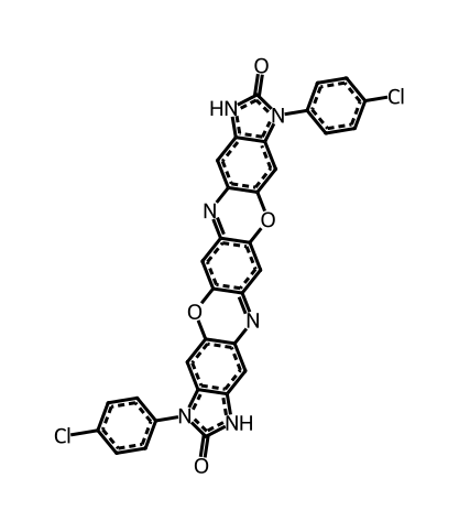 O=c1[nH]c2cc3c(cc2n1-c1ccc(Cl)cc1)Oc1cc2c(cc1=N3)Oc1cc3c(cc1N=2)[nH]c(=O)n3-c1ccc(Cl)cc1